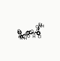 CCNC(=O)COc1ccc(Cl)cc1CNC(=O)Cc1c(C)ccn(NCc2c(C)nn(C)c2N2CCOCC2)c1=O